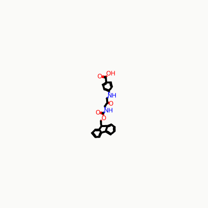 O=C(CNC(=O)OCC1c2ccccc2-c2ccccc21)CNc1ccc(C(=O)O)cc1